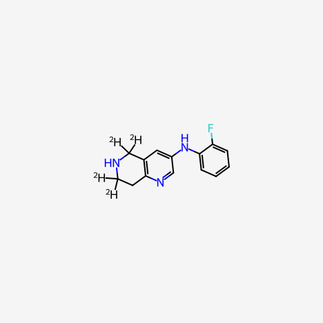 [2H]C1([2H])Cc2ncc(Nc3ccccc3F)cc2C([2H])([2H])N1